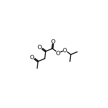 CC(=O)CC(=O)C(=O)OOC(C)C